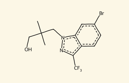 CC(C)(CO)Cn1nc(C(F)(F)F)c2ccc(Br)cc21